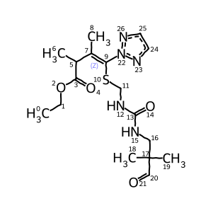 CCOC(=O)C(C)/C(C)=C(\SCNC(=O)NCC(C)(C)C=O)n1nccn1